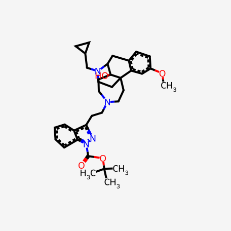 COc1ccc2c(c1)C13CCN(CCc4nn(C(=O)OC(C)(C)C)c5ccccc45)CCC1(O)C(C2)N(CC1CC1)CC3